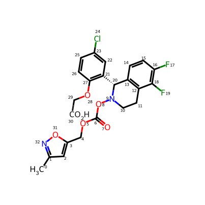 Cc1cc(COC(=O)ON2CCc3c(ccc(F)c3F)[C@H]2c2cc(Cl)ccc2OCC(=O)O)on1